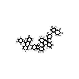 c1ccc(-c2c3ccccc3c(-c3ccc4c(c3)oc3c(-c5c6ccccc6c(-c6ccc(-c7cccc8ccccc78)cc6)c6ccccc56)cccc34)c3ccccc23)cc1